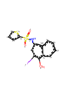 O=S(=O)(Nc1cc(I)c(O)c2ccccc12)c1cccs1